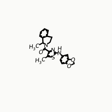 Cc1sc(Nc2ccc3c(c2)OCO3)nc1C(=O)N1CCc2ccccc2C1C